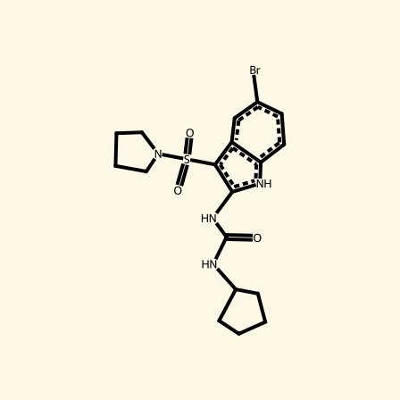 O=C(Nc1[nH]c2ccc(Br)cc2c1S(=O)(=O)N1CCCC1)NC1CCCC1